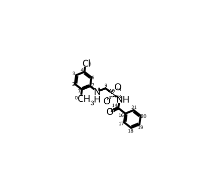 Cc1ccc(Cl)cc1NCS(=O)(=O)NC(=O)c1ccccc1